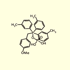 COc1ccc(CP(OP(=O)(O)O)(c2cccc(C)c2)(c2cccc(C)c2)c2cccc(C)c2)cc1